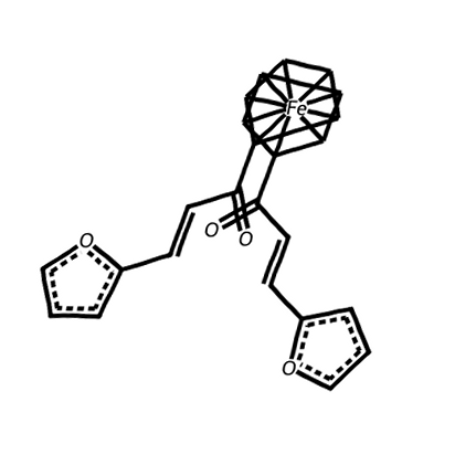 O=C(C=Cc1ccco1)[C]12[CH]3[CH]4[CH]5[CH]1[Fe]45321678[CH]2[CH]1[CH]6[C]7(C(=O)C=Cc1ccco1)[CH]28